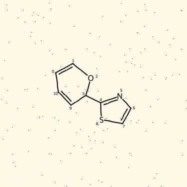 C1=COC(c2nccs2)C=C1